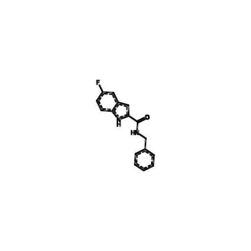 O=C(NCc1ccccc1)c1cc2cc(F)ccc2[nH]1